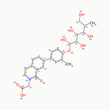 Cc1cc(-c2ccc3ccn(CC(=O)O)c(=O)c3c2)ccc1OC(O)C(O)C(O)C(O)C(C)CO